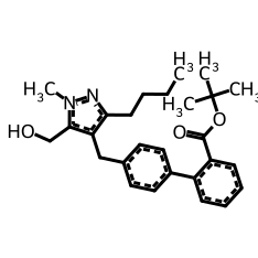 CCCCc1nn(C)c(CO)c1Cc1ccc(-c2ccccc2C(=O)OC(C)(C)C)cc1